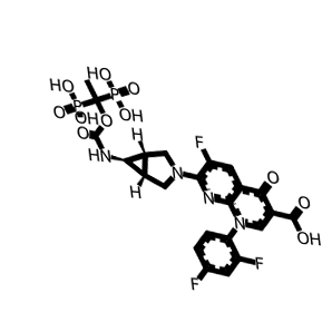 CC(OC(=O)N[C@H]1[C@@H]2CN(c3nc4c(cc3F)c(=O)c(C(=O)O)cn4-c3ccc(F)cc3F)C[C@@H]21)(P(=O)(O)O)P(=O)(O)O